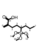 C=C(CCC(CCC)[Si](OC)(OC)OC)C(=O)O